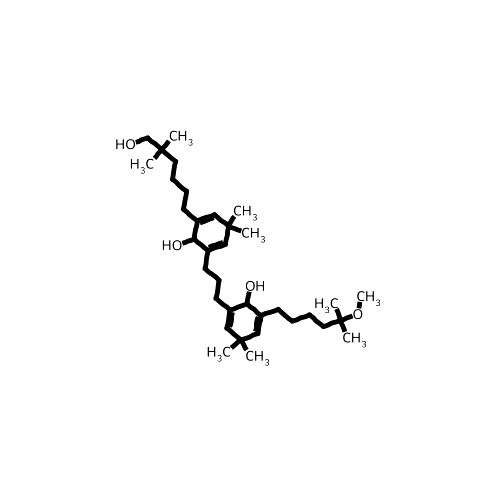 COC(C)(C)CCCCC1=CC(C)(C)C=C(CCCC2=CC(C)(C)C=C(CCCCC(C)(C)CO)C2O)C1O